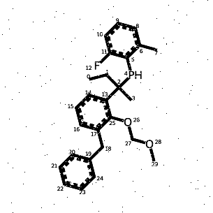 CCC(C)(Pc1c(C)cccc1F)c1cccc(Cc2ccccc2)c1OCOC